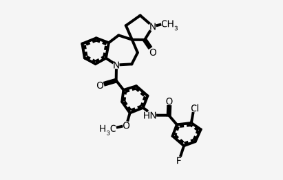 COc1cc(C(=O)N2CCC3(CCN(C)C3=O)Cc3ccccc32)ccc1NC(=O)c1cc(F)ccc1Cl